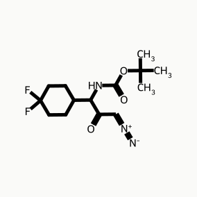 CC(C)(C)OC(=O)NC(C(=O)C=[N+]=[N-])C1CCC(F)(F)CC1